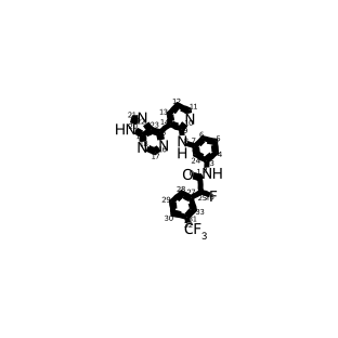 O=C(Nc1cccc(Nc2ncccc2-c2ncnc3[nH]cnc23)c1)C(F)c1cccc(C(F)(F)F)c1